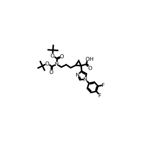 CC(C)(C)OC(=O)N(CCCC1CC1(C(=O)O)c1cn(-c2ccc(F)c(F)c2)cn1)C(=O)OC(C)(C)C